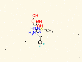 CCCSc1nc(C[C@@H]2C[C@H]2c2ccc(F)c(F)c2)c(N)c(N[C@@H]2C[C@H](OCCO)[C@@H](O)[C@H]2O)n1